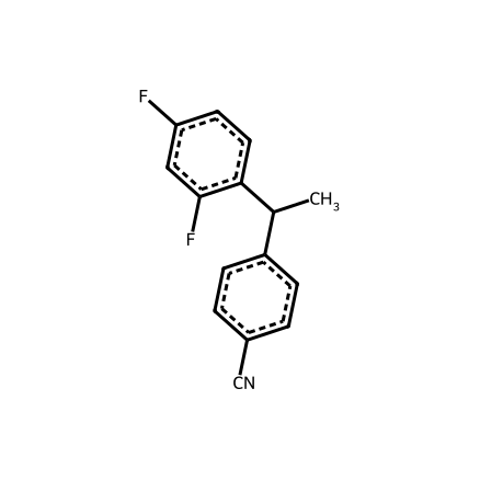 CC(c1ccc(C#N)cc1)c1ccc(F)cc1F